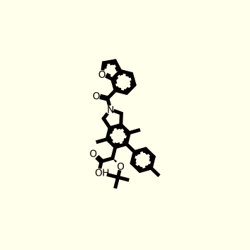 Cc1ccc(-c2c(C)c3c(c(C)c2[C@H](OC(C)(C)C)C(=O)O)CN(C(=O)c2cccc4ccoc24)C3)cc1